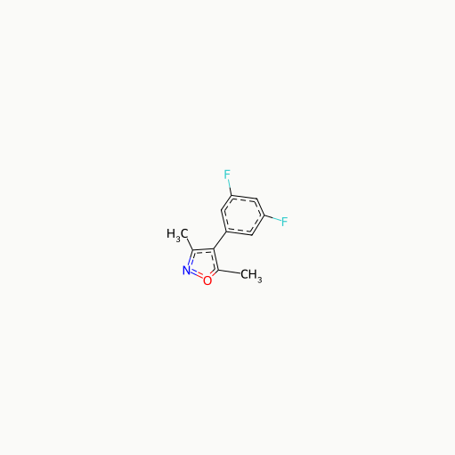 Cc1noc(C)c1-c1cc(F)cc(F)c1